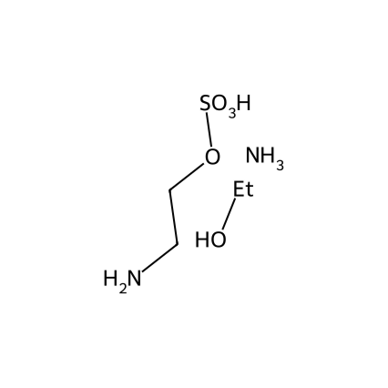 CCO.N.NCCOS(=O)(=O)O